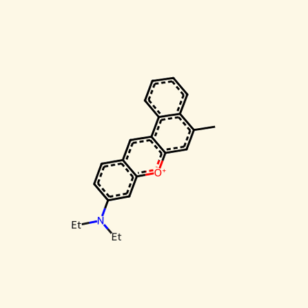 CCN(CC)c1ccc2cc3c(cc(C)c4ccccc43)[o+]c2c1